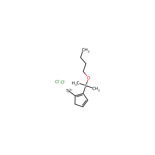 CCCCO[Si](C)(C)C1=[C]([Ti+2])CC=C1.[Cl-].[Cl-]